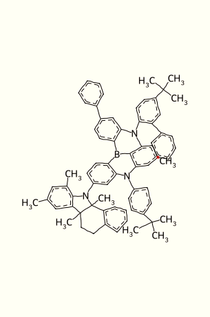 Cc1cc2c3c(c1)N(c1ccc(C(C)(C)C)cc1-c1ccccc1)c1cc(-c4ccccc4)ccc1B3c1ccc(N3c4c(C)cc(C)cc4C4(C)CCc5ccccc5C34C)cc1N2c1ccc(C(C)(C)C)cc1